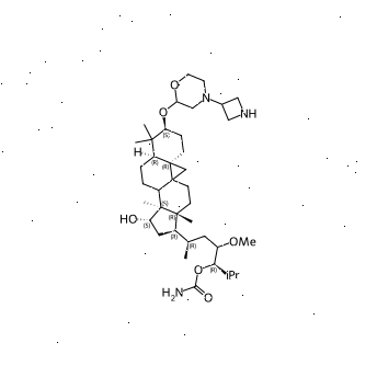 COC(C[C@@H](C)[C@H]1C[C@H](O)[C@@]2(C)C3CC[C@H]4C(C)(C)[C@@H](OC5CN(C6CNC6)CCO5)CC[C@@]45CC35CC[C@]12C)[C@H](OC(N)=O)C(C)C